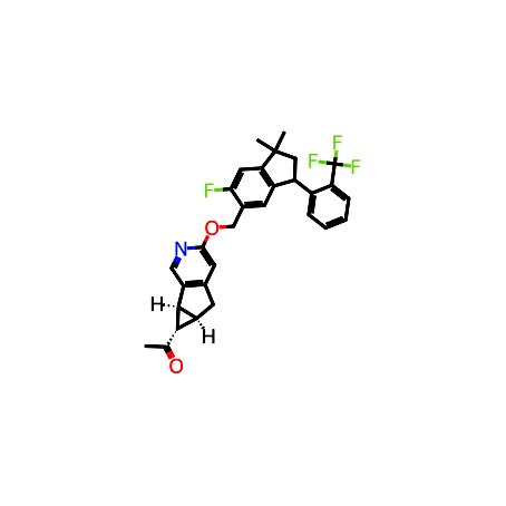 CC(=O)[C@H]1[C@@H]2Cc3cc(OCc4cc5c(cc4F)C(C)(C)CC5c4ccccc4C(F)(F)F)ncc3[C@@H]21